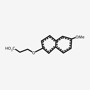 COc1ccc2cc(OCCC(=O)O)ccc2c1